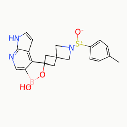 Cc1ccc([S+]([O-])N2CC3(C2)CC2(C3)OB(O)c3cnc4[nH]ccc4c32)cc1